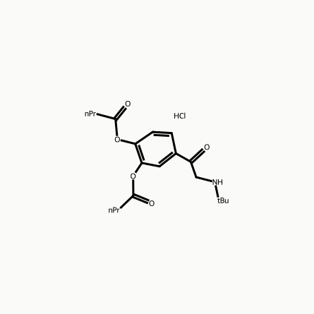 CCCC(=O)Oc1ccc(C(=O)CNC(C)(C)C)cc1OC(=O)CCC.Cl